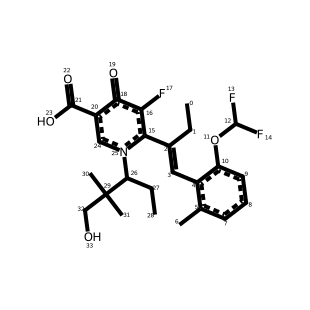 CC/C(=C\c1c(C)cccc1OC(F)F)c1c(F)c(=O)c(C(=O)O)cn1C(CC)C(C)(C)CO